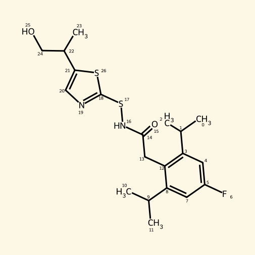 CC(C)c1cc(F)cc(C(C)C)c1CC(=O)NSc1ncc(C(C)CO)s1